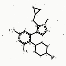 Cn1ncc(-c2nc(N)nc(N)c2C2CCC(N)CC2)c1CC1CC1